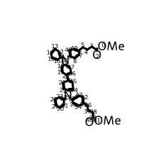 COC(=O)CCCc1ccc(N(c2ccccc2)c2ccc(-c3ccc(N(c4ccccc4)c4ccc(CCCC(=O)OC)cc4)cc3)cc2)cc1